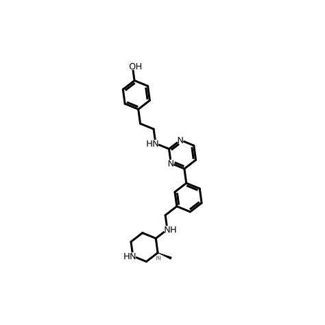 C[C@H]1CNCCC1NCc1cccc(-c2ccnc(NCCc3ccc(O)cc3)n2)c1